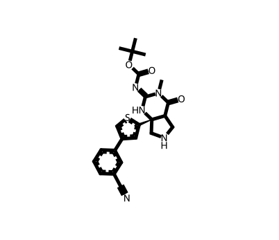 CN1C(=O)C2CNC[C@]2(c2cc(-c3cccc(C#N)c3)cs2)N/C1=N/C(=O)OC(C)(C)C